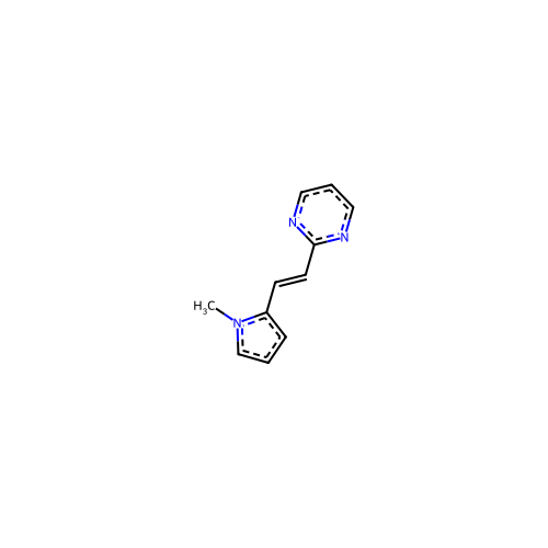 Cn1cccc1/C=C/c1ncccn1